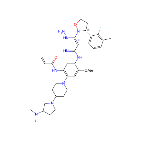 C=CC(=O)Nc1cc(NC(=N)/C=C(\NN)N2OCC[C@@H]2c2cccc(C)c2F)c(OC)cc1N1CCC(N2CCC(N(C)C)C2)CC1